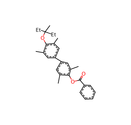 CCC(C)(CC)Oc1c(C)cc(-c2cc(C)c(OC(=O)c3ccccc3)c(C)c2)cc1C